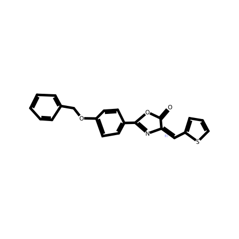 O=C1OC(c2ccc(OCc3ccccc3)cc2)=N/C1=C/c1cccs1